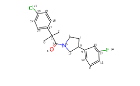 CC(C)(C(=O)N1CCC(c2cccc(F)c2)C1)c1ccc(Cl)cc1